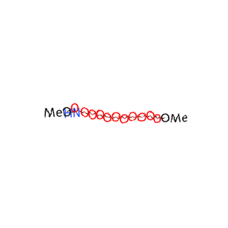 COCCOCCOCCOCCOCCOCCOCCOCCOCCOCCOCCNC(=O)CCOC